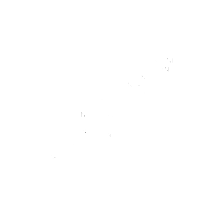 C[Si](C)(C)CCOCn1cc(Br)c2c(Oc3c(F)cc(NC(=O)NCc4cc[nH]n4)cc3F)ccnc21